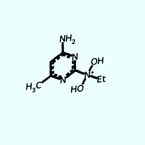 CC[N+](O)(O)c1nc(C)cc(N)n1